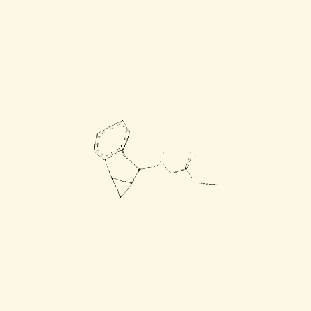 COC(=O)CNC1c2ccccc2C2CC21